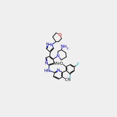 COc1cc(F)cc(F)c1-c1nc(Nc2cc(N3CCC[C@H](N)C3)c(-c3cnn(C4CCOCC4)c3)cn2)ccc1C#N